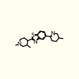 CC1CCC(c2ccc3sc(C4CCN(C)CC4C)nc3c2)=NC1